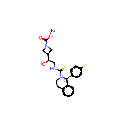 CC(C)(C)OC(=O)N1CC(C(O)CNC(=S)N2CCc3ccccc3[C@@H]2c2ccc(F)cc2)C1